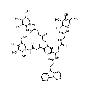 O=C(CCC(NC(=O)OCC1c2ccccc2-c2ccccc21)C(=O)NC(CCC(=O)NCC(=O)N[C@@H]1OC(CO)[C@H](O)C(O)C1O)C(=O)NCC(=O)N[C@@H]1OC(CO)[C@H](O)C(O)C1O)NCC(=O)N[C@@H]1OC(CO)[C@H](O)C(O)C1O